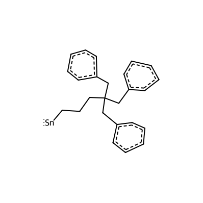 [Sn][CH2]CCC(Cc1ccccc1)(Cc1ccccc1)Cc1ccccc1